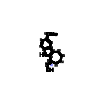 COc1ccc2[nH]c3c(c2c1)CCCC/C3=N\O